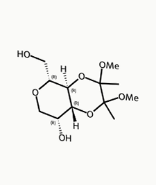 COC1(C)O[C@H]2[C@H](OC1(C)OC)[C@@H](CO)OC[C@H]2O